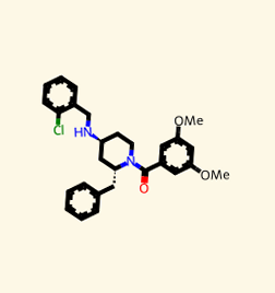 COc1cc(OC)cc(C(=O)N2CC[C@H](NCc3ccccc3Cl)C[C@H]2Cc2ccccc2)c1